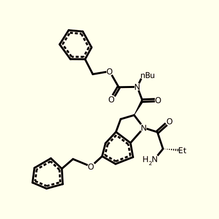 CCCCN(C(=O)OCc1ccccc1)C(=O)[C@@H]1Cc2cc(OCc3ccccc3)ccc2N1C(=O)[C@@H](N)CC